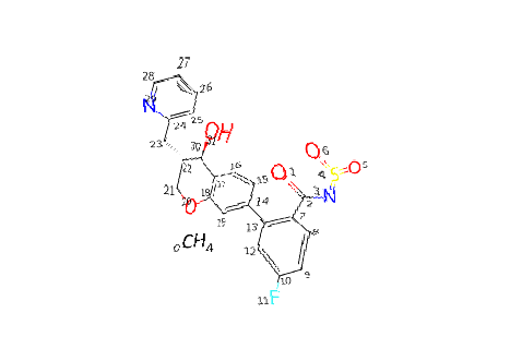 C.O=C(N=S(=O)=O)c1ccc(F)cc1-c1ccc2c(c1)OC[C@H](Cc1ccccn1)[C@H]2O